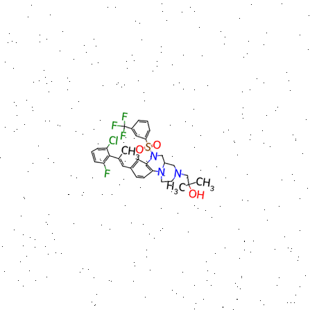 CC(=Cc1ccc2c(c1)N(S(=O)(=O)c1cccc(C(F)(F)F)c1)CC1CN(CC(C)(C)O)CCN21)c1c(F)cccc1Cl